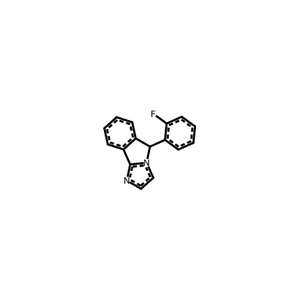 Fc1ccccc1C1c2ccccc2-c2nccn21